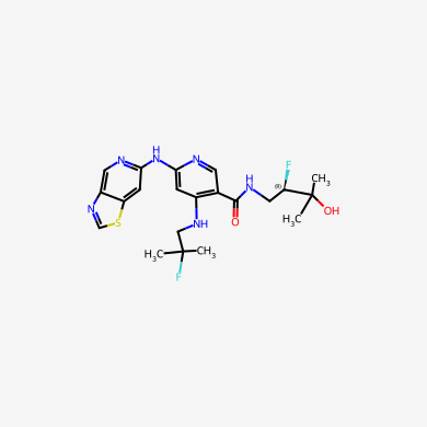 CC(C)(F)CNc1cc(Nc2cc3scnc3cn2)ncc1C(=O)NC[C@@H](F)C(C)(C)O